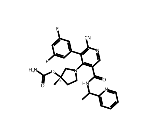 CC(NC(=O)c1cnc(C#N)c(-c2cc(F)cc(F)c2)c1N1CC[C@](C)(OC(N)=O)C1)c1ccccn1